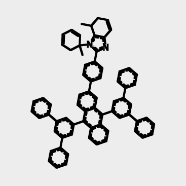 CC1CC=Cc2nc(-c3ccc(-c4ccc5c(-c6cc(-c7ccccc7)cc(-c7ccccc7)c6)c6ccccc6c(-c6cc(-c7ccccc7)cc(-c7ccccc7)c6)c5c4)cc3)n(C3(C)C=CC=CC3)c21